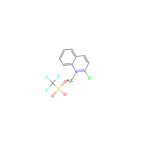 C[n+]1c(Cl)ccc2ccccc21.O=S(=O)([O-])C(F)(F)F